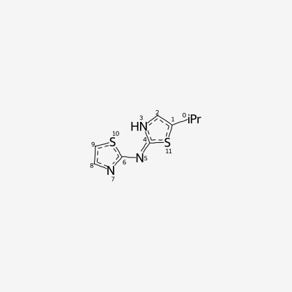 CC(C)c1c[nH]/c(=N\c2nccs2)s1